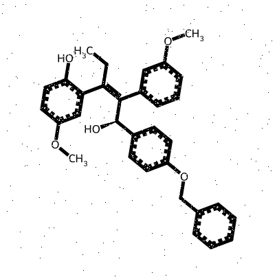 CC/C(=C(\c1cccc(OC)c1)[C@H](O)c1ccc(OCc2ccccc2)cc1)c1cc(OC)ccc1O